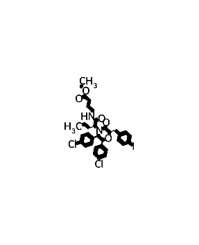 CCC[C@H](C(=O)NCCCC(=O)OCC)N1C(=O)[C@H](Cc2ccc(I)cc2)O[C@@H](c2ccc(Cl)cc2)[C@H]1c1ccc(Cl)cc1